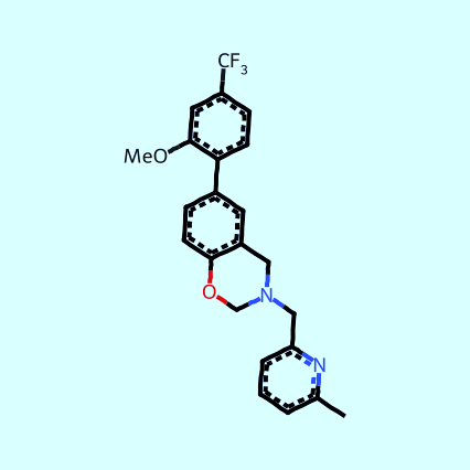 COc1cc(C(F)(F)F)ccc1-c1ccc2c(c1)CN(Cc1cccc(C)n1)CO2